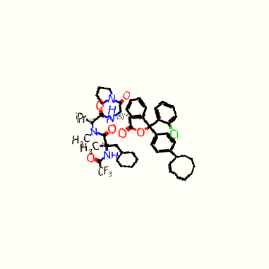 CC(C)[C@@H](C(=O)N[C@@H](CC(=O)OC(c1ccccc1)(c1ccc(C2CCCCCCCC2)cc1)c1ccccc1Cl)C(=O)N1CCCC1)N(C)C(=O)[C@](C)(CC1CCCCC1)NC(=O)C(F)(F)F